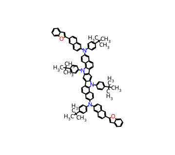 CC(C)(C)c1ccc(N(c2ccc3cc(-c4cc5ccccc5o4)ccc3c2)c2ccc3c(ccc4c5cc6c(cc5n(-c5ccc(C(C)(C)C)cc5)c34)c3ccc4cc(N(c5ccc(C(C)(C)C)cc5)c5ccc7cc(-c8cc9ccccc9o8)ccc7c5)ccc4c3n6-c3ccc(C(C)(C)C)cc3)c2)cc1